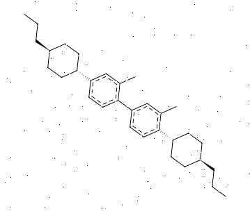 CCC[C@H]1CC[C@H](c2ccc(-c3ccc([C@H]4CC[C@H](CCC)CC4)c(C)c3)c(C)c2)CC1